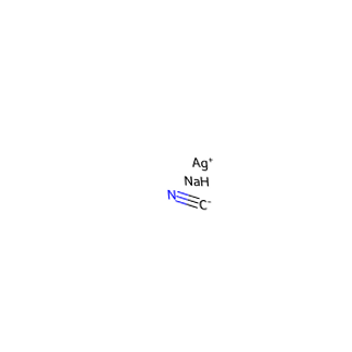 [Ag+].[C-]#N.[NaH]